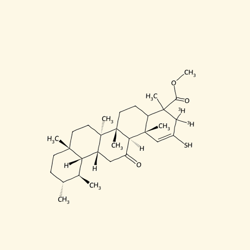 [3H]C1([3H])C(S)=C[C@@]2(C)C(CC[C@]3(C)[C@@H]2C(=O)C[C@@H]2[C@@H]4[C@@H](C)[C@H](C)CC[C@]4(C)CC[C@]23C)C1(C)C(=O)OC